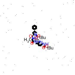 CCc1nc(NC(=O)OC(C)(C)C)ccc1CNC(=O)[C@H](C)NC(=O)[C@H]1C[C@H](c2ccccc2)CN1C(=O)OC(C)(C)C